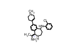 C/C(N)=C1/NCCC(Nc2ccccc2Cl)c2cc(C3=CCN(C)CC3)ccc21